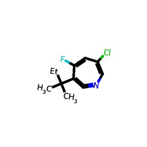 CCC(C)(C)C1=C=NC=C(Cl)C=C1F